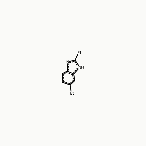 CCc1ccc2nc(CC)[nH]c2c1